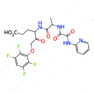 CC(NC(=O)C(=O)Nc1ccccn1)C(=O)NC(CCC(=O)O)C(=O)COc1c(F)c(F)cc(F)c1F